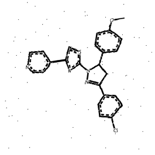 COc1ccc(C2CC(c3ccc(Cl)cc3)=NN2c2nc(-c3ccncc3)cs2)cc1